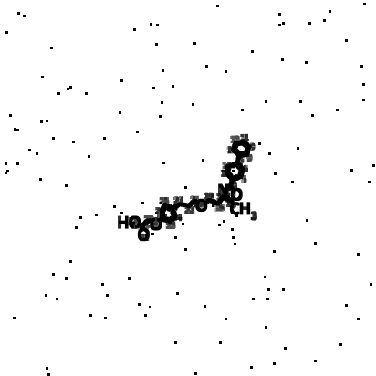 Cc1oc(-c2ccc(-c3ccccc3)cc2)nc1CCOCCCc1ccc(OCC(=O)O)cc1